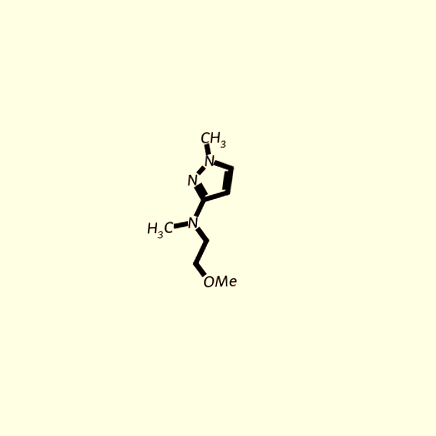 COCCN(C)c1ccn(C)n1